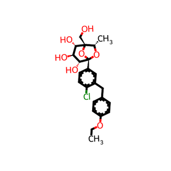 CCOc1ccc(Cc2cc([C@]34O[C@@H](C)[C@](CO)(O3)[C@@H](O)[C@H](O)[C@H]4O)ccc2Cl)cc1